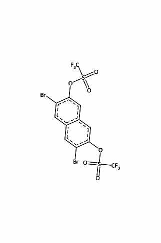 O=S(=O)(Oc1cc2cc(OS(=O)(=O)C(F)(F)F)c(Br)cc2cc1Br)C(F)(F)F